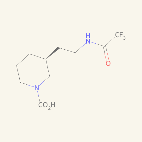 O=C(O)N1CCC[C@@H](CCNC(=O)C(F)(F)F)C1